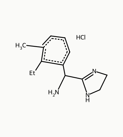 CCc1c(C)cccc1C(N)C1=NCCN1.Cl